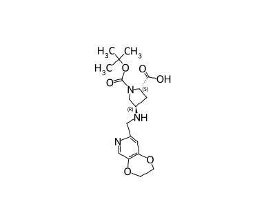 CC(C)(C)OC(=O)N1C[C@H](NCc2cc3c(cn2)OCCO3)C[C@H]1C(=O)O